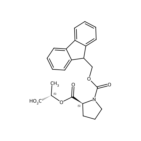 C[C@H](OC(=O)[C@@H]1CCCN1C(=O)OCC1c2ccccc2-c2ccccc21)C(=O)O